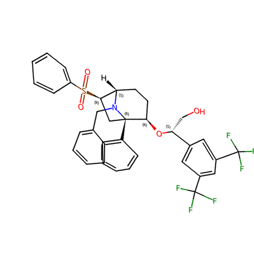 O=S(=O)(c1ccccc1)[C@@H]1C[C@@]2(c3ccccc3)[C@H](O[C@H](CO)c3cc(C(F)(F)F)cc(C(F)(F)F)c3)CC[C@@H]1N2Cc1ccccc1